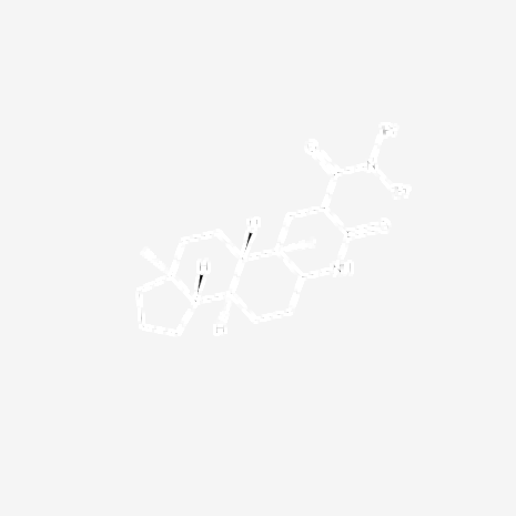 CC(C)N(C(=O)C1C[C@@]2(C)C(CC[C@H]3[C@@H]4CCC[C@@]4(C)CC[C@@H]32)NC1=O)C(C)C